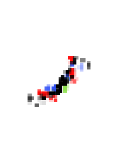 CC(=O)NC[C@H]1CN(c2ccc(C3=CNC(C(=O)COC(C)=O)CC3)c(F)c2)C(=O)O1